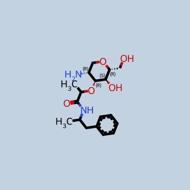 CC(Cc1ccccc1)NC(=O)C(C)O[C@H]1[C@H](O)[C@@H](CO)OC[C@H]1N